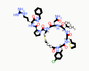 CC(C)[C@@H]1NC(=O)[C@H](Cc2cccs2)NC(=O)[C@H](Cc2ccc(Cl)cc2)NC(=O)CCCSC[C@@H](C(=O)N2CCC[C@H]2C(=O)N[C@H](CCCNC(=N)N)C(=O)NCc2ccccc2)NC(=O)[C@H](CC(N)=O)NC1=O